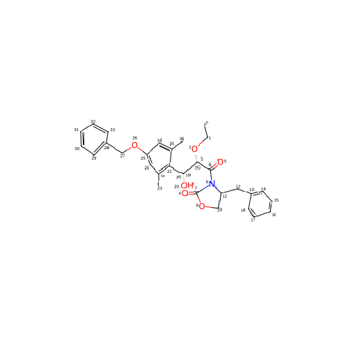 CCO[C@H](C(=O)N1C(=O)OCC1Cc1ccccc1)[C@H](O)c1c(C)cc(OCc2ccccc2)cc1C